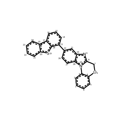 c1ccc2c(c1)OCc1nc3cc(-c4cccc5c4sc4ccccc45)ccc3n1-2